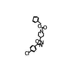 O=C(OCc1ccccc1)N1CCC(c2nnc(-c3ccc(Cl)cc3)o2)CC1